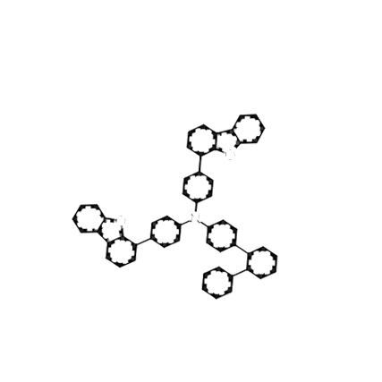 c1ccc(-c2ccccc2-c2ccc(N(c3ccc(-c4cccc5c4oc4ccccc45)cc3)c3ccc(-c4cccc5c4oc4ccccc45)cc3)cc2)cc1